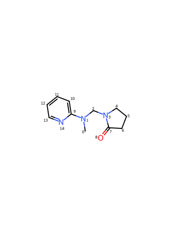 CN(CN1CCCC1=O)c1ccccn1